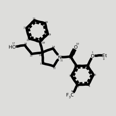 CCOc1ccc(C(F)(F)F)cc1C(=O)N1CCC(CCO)(c2ccccc2)C1